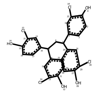 Oc1ccc(C(CC(c2ccc(O)c(Cl)c2)c2ccc(O)c(Cl)c2)c2ccc(O)c(Cl)c2)cc1Cl